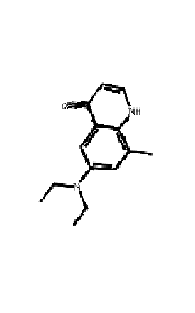 CCN(CC)c1cc(C)c2[nH]ccc(=O)c2c1